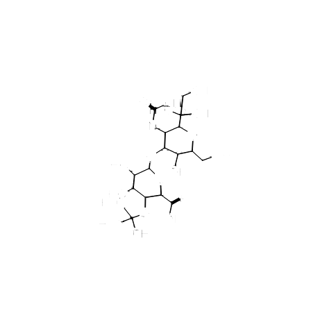 CCC(C)(C)C1OC(CO)C(O)C(OC2OC(C(=O)O)C(OC(C)(C)C)C(O)C2O)C1NC(C)=O